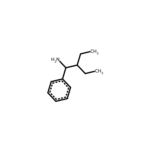 CCC(CC)C(N)c1c[c]ccc1